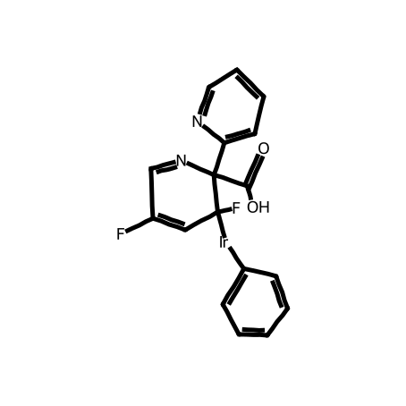 O=C(O)C1(c2ccccn2)N=CC(F)=C[C]1(F)[Ir][c]1ccccc1